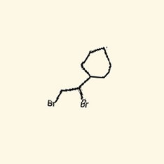 BrCC(Br)[C]1CC[CH]CC1